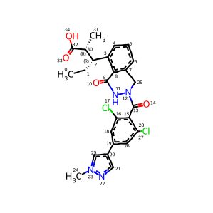 CC[C@@H](c1cccc2c1C(=O)NN(C(=O)c1c(Cl)cc(-c3cnn(C)c3)cc1Cl)C2)[C@@H](C)C(=O)O